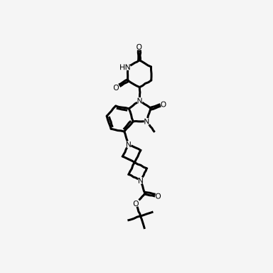 Cn1c(=O)n(C2CCC(=O)NC2=O)c2cccc(N3CC4(CN(C(=O)OC(C)(C)C)C4)C3)c21